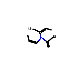 C=C(CC)N(/C=C\C)/C(=C\C)C(C)(C)C